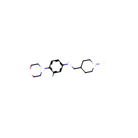 CN1CCC(CNc2ccc(N3CCOCC3)c(F)c2)CC1